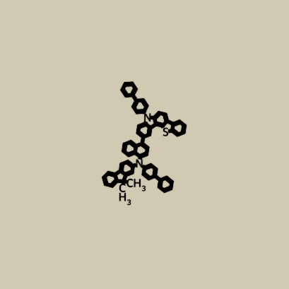 CC1(C)c2ccccc2-c2ccc(N(c3ccc(-c4ccccc4)cc3)c3ccc(-c4ccc5c(c4)c4c6sc7ccccc7c6ccc4n5-c4ccc(-c5ccccc5)cc4)c4ccccc34)cc21